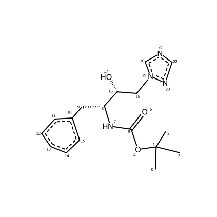 CC(C)(C)OC(=O)N[C@H](Cc1ccccc1)[C@H](O)Cn1cncn1